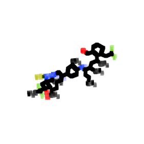 C=C(/N=C\C(=C/CCCC)c1ccc(/N=C(\CCC)C(C)CC(C)c2c(C=O)cccc2CC(F)F)c(C)c1)C1(NS)CC(O)(C(C)(F)F)C1